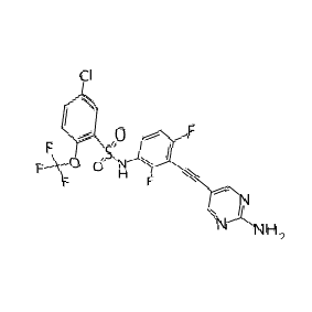 Nc1ncc(C#Cc2c(F)ccc(NS(=O)(=O)c3cc(Cl)ccc3OC(F)(F)F)c2F)cn1